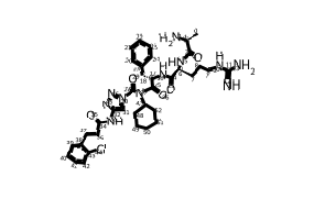 C[C@H](N)C(=O)N[C@@H](CCCNC(=N)N)C(=O)N[C@@H](Cc1ccccc1)C(=O)N(C(=O)n1cc(NC(=O)C=Cc2ccccc2Cl)nn1)C1CCCCC1